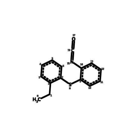 CCc1ccccc1Sc1ccccc1N=C=O